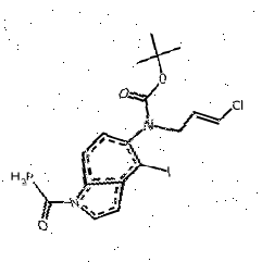 CC(C)(C)OC(=O)N(CC=CCl)c1ccc2c(ccn2C(=O)P)c1I